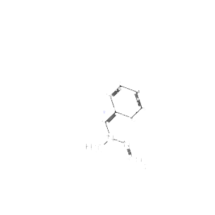 C=NN(C)/C=C1/C=CC=CC1